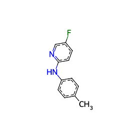 Cc1ccc(Nc2ccc(F)cn2)cc1